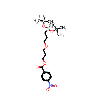 C[Si](C)(C)O[Si](C)(CCCOCCCOC(=O)c1ccc([N+](=O)[O-])cc1)O[Si](C)(C)C